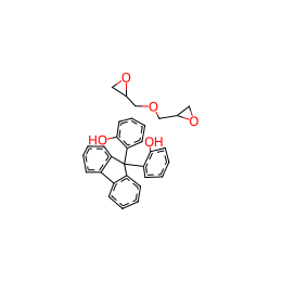 C(OCC1CO1)C1CO1.Oc1ccccc1C1(c2ccccc2O)c2ccccc2-c2ccccc21